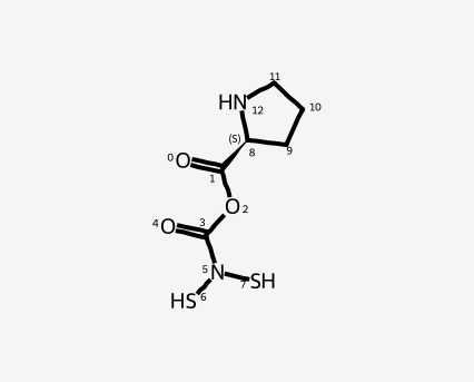 O=C(OC(=O)N(S)S)[C@@H]1CCCN1